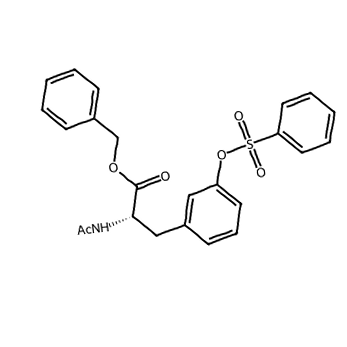 CC(=O)N[C@@H](Cc1cccc(OS(=O)(=O)c2ccccc2)c1)C(=O)OCc1ccccc1